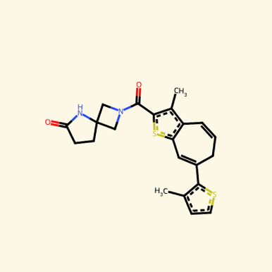 Cc1ccsc1C1=Cc2sc(C(=O)N3CC4(CCC(=O)N4)C3)c(C)c2C=CC1